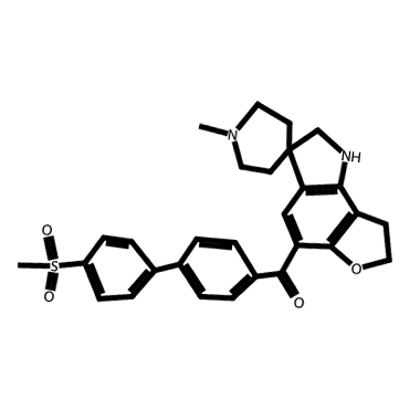 CN1CCC2(CC1)CNc1c2cc(C(=O)c2ccc(-c3ccc(S(C)(=O)=O)cc3)cc2)c2c1CCO2